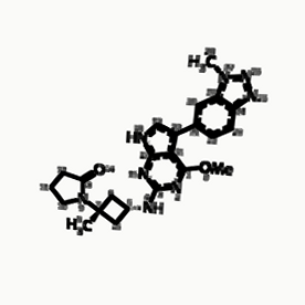 COc1nc(N[C@H]2C[C@@](C)(N3CCCC3=O)C2)nc2[nH]cc(-c3ccc4nnn(C)c4c3)c12